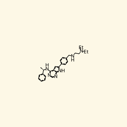 CCN(CC)CCNCc1ccc(-c2cc3c(N[C@H](C)c4ccccc4)ncnc3[nH]2)cc1